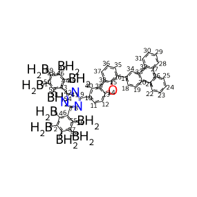 Bc1c(B)c(B)c(-c2nc(-c3ccc4oc5c(-c6ccc7c8ccccc8c8ccccc8c7c6)cccc5c4c3)nc(-c3c(B)c(B)c(B)c(B)c3B)n2)c(B)c1B